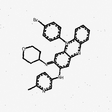 Cc1ccc(Nc2cc3nc4ccccc4n(-c4ccc(Br)cc4)c-3cc2=NC2CCOCC2)cn1